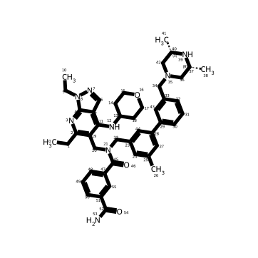 CCc1nc2c(cnn2CC)c(NC2CCOCC2)c1CN(Cc1cc(C)cc(-c2cccc(CN3C[C@@H](C)N[C@@H](C)C3)c2)c1)C(=O)c1cccc(C(N)=O)c1